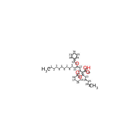 CCCCCCCCCCC[C@H](C[C@H](OC1CCCCO1)[C@H](CCCCCC)C(=O)O)OCc1ccccc1